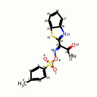 Cc1ccc(S(=O)(=O)O/N=C(\C(=O)C(C)(C)C)c2nc3ccccc3s2)cc1